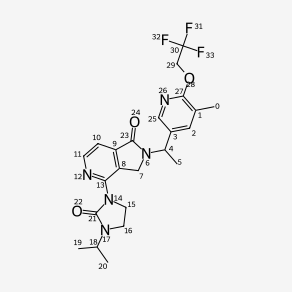 Cc1cc(C(C)N2Cc3c(ccnc3N3CCN(C(C)C)C3=O)C2=O)cnc1OCC(F)(F)F